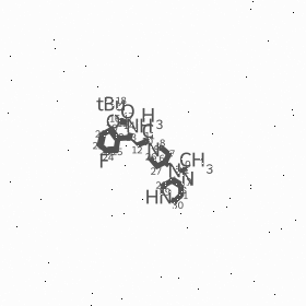 Cc1nc2c(n1C1CCN(C(C)C[C@H](NC(=O)OC(C)(C)C)c3cccc(F)c3)CC1)CNCC2